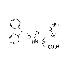 C[C@H](CC[C@@H](CC(=O)O)NC(=O)OCC1c2ccccc2-c2ccccc21)OC(C)(C)C